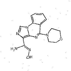 NC(=NO)c1ncn2c1nc(N1CCOCC1)c1ccccc12